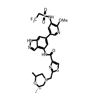 COc1ncc(-c2cc(NC(=O)c3csc(CN4CC(C)O[C@@H](C)C4)n3)c3cn[nH]c3c2)cc1NS(=O)(=O)CC(F)(F)F